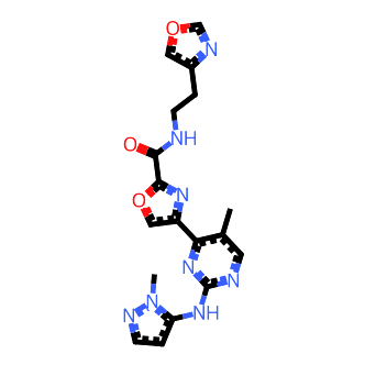 Cc1cnc(Nc2ccnn2C)nc1-c1coc(C(=O)NCCc2cocn2)n1